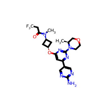 C[C@H]1COCCN1c1nc(O[C@H]2C[C@H](N(C)C(=O)CC(F)(F)F)C2)cc(-c2cnc(N)nc2)n1